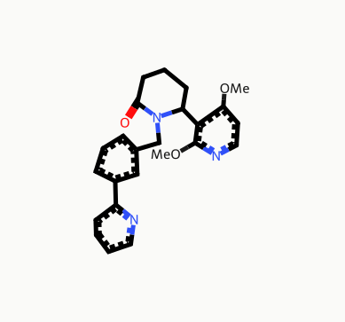 COc1ccnc(OC)c1C1CCCC(=O)N1Cc1cccc(-c2ccccn2)c1